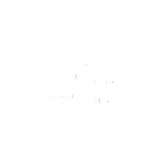 CCCCCCCC(CCCCCC)(CCCCCC)P=O